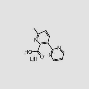 Cc1ccc(-c2ncccn2)c(C(=O)O)n1.[LiH]